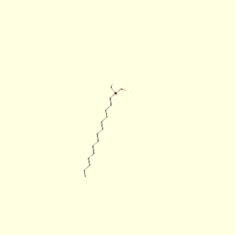 CCCCCCCCCCCCCCC(O)(CO)CO